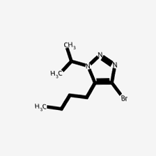 CCCCc1c(Br)nnn1C(C)C